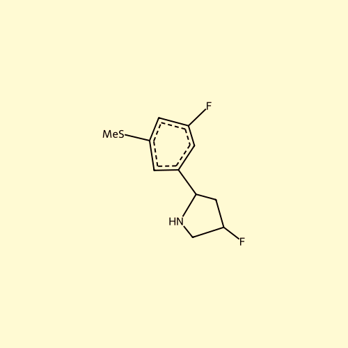 CSc1cc(F)cc(C2CC(F)CN2)c1